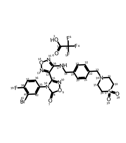 O=C(O)C(F)(F)F.O=c1onc(-c2nonc2NCc2ccc(CN3CCS(=O)(=O)CC3)cc2)n1-c1ccc(F)c(Br)c1